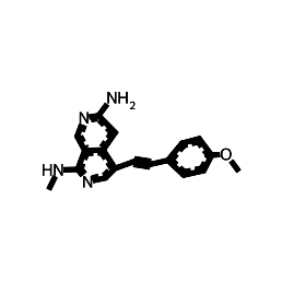 CNc1ncc(C#Cc2ccc(OC)cc2)c2cc(N)ncc12